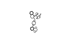 O=C(N1c2ccccc2CCC1CN1CCN(c2cccc3c2OCCO3)CC1)C1(C(F)(F)F)CC1